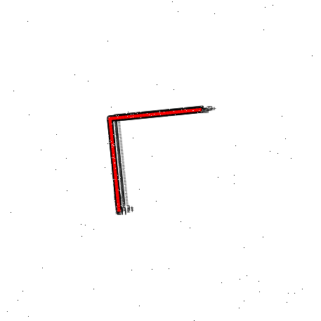 [O-2].[O-2].[O-2].[O-2].[O-2].[O-2].[O-2].[O-2].[O-2].[O-2].[O-2].[O-2].[O-2].[O-2].[O-2].[O-2].[O-2].[O-2].[O-2].[O-2].[O-2].[O-2].[O-2].[O-2].[O-2].[O-2].[O-2].[O-2].[O-2].[O-2].[O-2].[O-2].[O-2].[O-2].[O-2].[O-2].[O-2].[O-2].[O-2].[O-2].[O-2].[O-2].[O-2].[O-2].[O-2].[O-2].[O-2].[O-2].[O-2].[O-2].[O-2].[O-2].[O-2].[O-2].[O-2].[O-2].[O-2].[O-2].[O-2].[O-2].[O-2].[O-2].[O-2].[O-2].[O-2].[O-2].[O-2].[O-2].[O-2].[O-2].[O-2].[O-2].[O-2].[O-2].[O-2].[O-2].[O-2].[O-2].[O-2].[O-2].[O-2].[O-2].[O-2].[O-2].[O-2].[O-2].[O-2].[O-2].[O-2].[O-2].[O-2].[O-2].[O-2].[O-2].[O-2].[O-2].[O-2].[O-2].[O-2].[O-2].[O-2].[O-2].[O-2].[O-2].[O-2].[O-2].[O-2].[O-2].[O-2].[O-2].[O-2].[O-2].[O-2].[O-2].[O-2].[O-2].[O-2].[O-2].[O-2].[O-2].[Zn+2].[Zn+2].[Zn+2].[Zn+2].[Zn+2].[Zn+2]